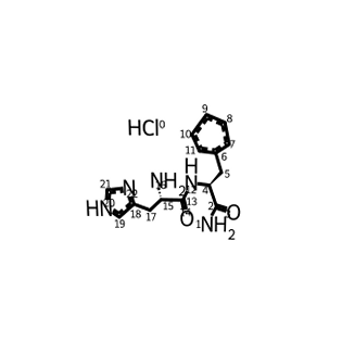 Cl.NC(=O)[C@H](Cc1ccccc1)NC(=O)[C@@H](N)Cc1c[nH]cn1